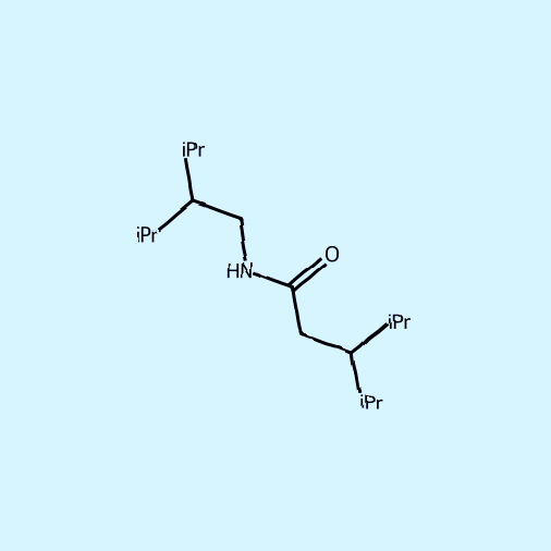 CC(C)C(CNC(=O)CC(C(C)C)C(C)C)C(C)C